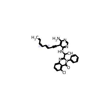 C=C/C=C\C=C\C#Cc1c(N)ncnc1NC(C)c1nc2cccc(Cl)c2c(=O)n1-c1ccccc1